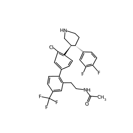 CC(=O)NCCc1cc(C(F)(F)F)ccc1-c1ccc([C@H]2CNCC[C@@H]2c2ccc(F)c(F)c2)c(Cl)c1